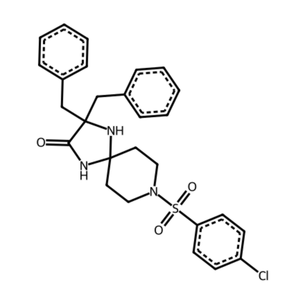 O=C1NC2(CCN(S(=O)(=O)c3ccc(Cl)cc3)CC2)NC1(Cc1ccccc1)Cc1ccccc1